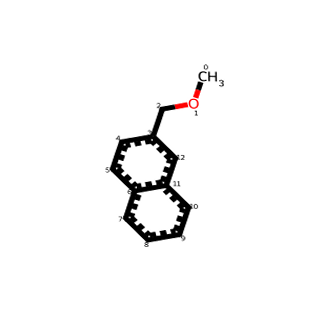 COCc1ccc2[c]cccc2c1